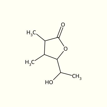 CC(O)C1OC(=O)C(C)C1C